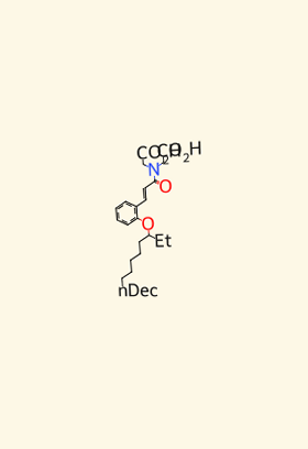 CCCCCCCCCCCCCCCC(CC)Oc1ccccc1C=CC(=O)N(CC(=O)O)CC(=O)O